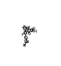 CC1CN(c2cc(F)c(C3=CCN(c4ncc(C#N)s4)CC3)cc2NC(=O)c2c[nH]c(=O)cc2C(F)(F)F)CC(C)N1C